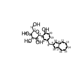 OCC1OC(c2cc(Cc3cc4cccccc-4c3)ccc2O)[C@H](O)C(O)[C@@H]1O